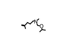 C=C(C)CCCN(C)COC(C)C